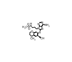 C#Cc1cc2c(cc1Sc1nc3c(N)ncnc3n1CCCNS(C)(=O)=O)OCCN2C